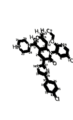 CCOc1ncc(Cl)cc1-n1c(C=C(C)C)c(C(=O)N2CCNCC2)cc(-c2nc(-c3ccc(Cl)cc3)cs2)c1=O